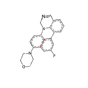 Fc1cccc(-c2cccc3c2N(c2ccc(N4CCOCC4)cc2)CN=C3)c1